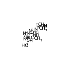 CC(C)Nc1cc(-n2cnc3cnc(NCCO)nc32)ncc1C(=O)NC[C@@H](F)C(C)(C)O